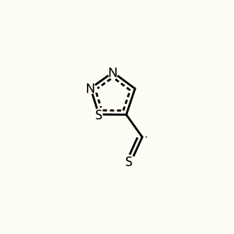 S=[C]c1cnns1